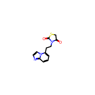 O=C1CSC(=O)N1CCc1cccc2nccn12